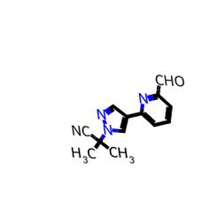 CC(C)(C#N)n1cc(-c2cccc(C=O)n2)cn1